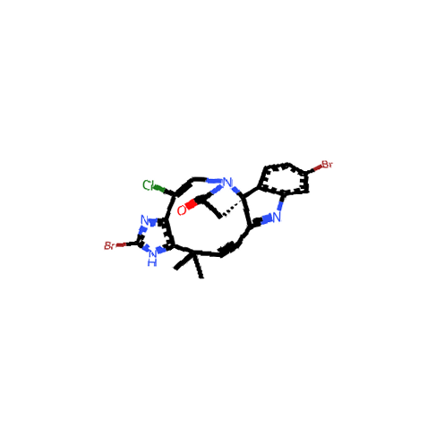 CC1(C)/C=C\C2=Nc3cc(Br)ccc3[C@@]23CC(=O)N3/C=C(/Cl)c2nc(Br)[nH]c21